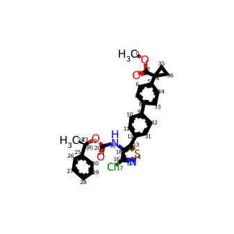 COC(=O)C1(c2ccc(-c3ccc(-c4snc(Cl)c4NC(=O)O[C@H](C)c4ccccc4)cc3)cc2)CC1